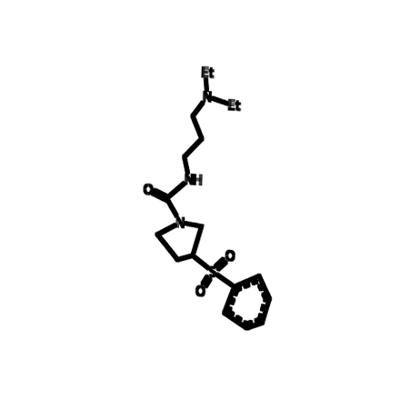 CCN(CC)CCCNC(=O)N1CCC(S(=O)(=O)c2ccccc2)C1